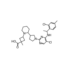 Cc1ccc(C(C)Nc2nc(N3CCC(C4CCCCN4C4CC(C)(C(=O)O)C4)C3)ncc2Cl)c(Cl)c1